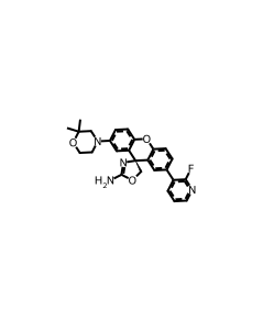 CC1(C)CN(c2ccc3c(c2)[C@]2(COC(N)=N2)c2cc(-c4cccnc4F)ccc2O3)CCO1